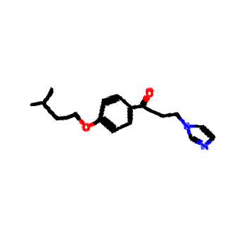 CC(C)CCOc1ccc(C(=O)CCn2ccnc2)cc1